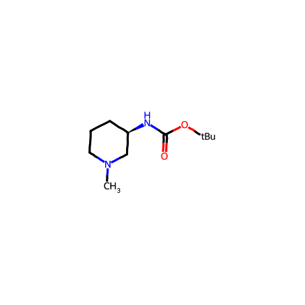 CN1CCC[C@@H](NC(=O)OC(C)(C)C)C1